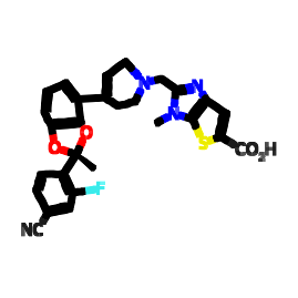 Cn1c(CN2CC=C(c3cccc4c3O[C@](C)(c3ccc(C#N)cc3F)O4)CC2)nc2cc(C(=O)O)sc21